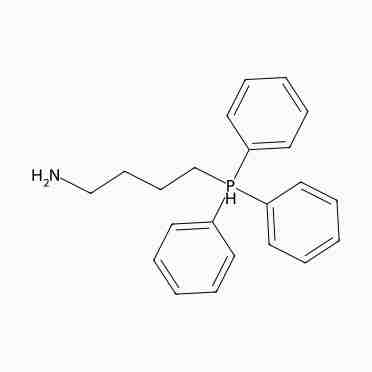 NCCCC[PH](c1ccccc1)(c1ccccc1)c1ccccc1